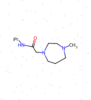 CC(C)NC(=O)CN1CCCN(C)CC1